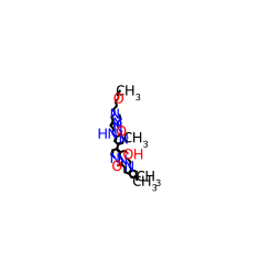 CCOCCCN1CCn2nc(Nc3cc(-c4ccnc(N5CCn6c(cc7c6CC(C)(C)C7)C5=O)c4CO)cn(C)c3=O)cc2C1